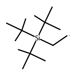 [CH2]C[Si](C(C)(C)C)(C(C)(C)C)C(C)(C)C